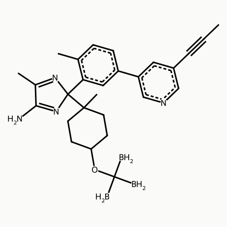 BC(B)(B)OC1CCC(C)(C2(c3cc(-c4cncc(C#CC)c4)ccc3C)N=C(C)C(N)=N2)CC1